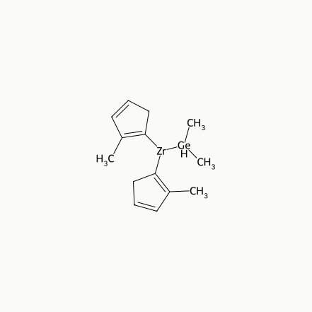 CC1=[C]([Zr]([C]2=C(C)C=CC2)[GeH]([CH3])[CH3])CC=C1